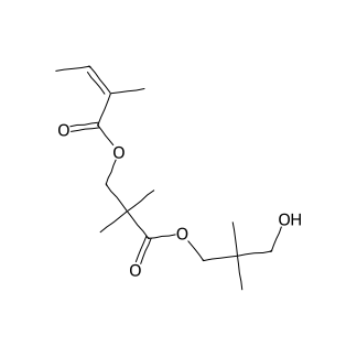 CC=C(C)C(=O)OCC(C)(C)C(=O)OCC(C)(C)CO